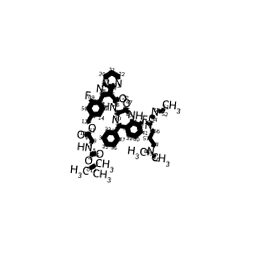 CC(C)(C)OC(=O)NCC(=O)OCc1ccc(-c2nn3cccnc3c2C(=O)N[C@H]2N=C(c3ccccc3)c3cccc(F)c3NC2=O)c(F)c1.CCN=C=NCCCN(C)C